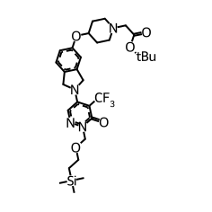 CC(C)(C)OC(=O)CN1CCC(Oc2ccc3c(c2)CN(c2cnn(COCC[Si](C)(C)C)c(=O)c2C(F)(F)F)C3)CC1